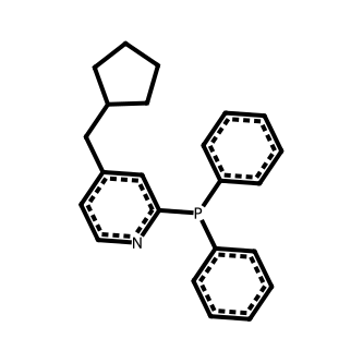 c1ccc(P(c2ccccc2)c2cc(CC3CCCC3)ccn2)cc1